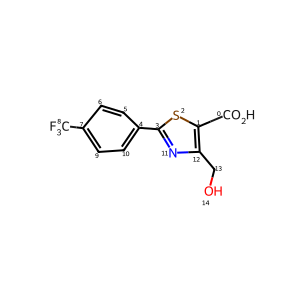 O=C(O)c1sc(-c2ccc(C(F)(F)F)cc2)nc1CO